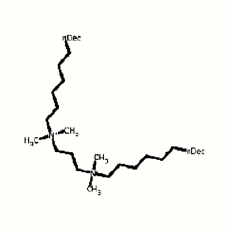 CCCCCCCCCCCCCCCC[N+](C)(C)CCC[N+](C)(C)CCCCCCCCCCCCCCCC